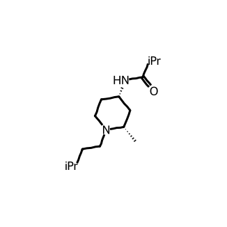 CC(C)CCN1CC[C@H](NC(=O)C(C)C)C[C@@H]1C